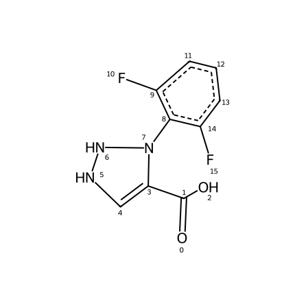 O=C(O)C1=CNNN1c1c(F)cccc1F